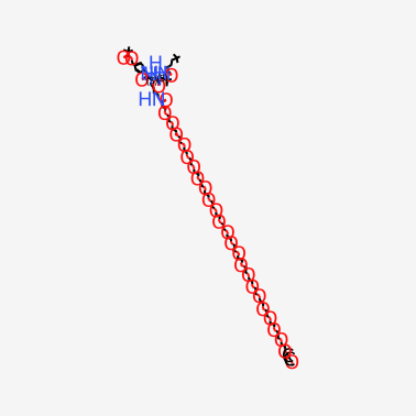 COCCOCCOCCOCCOCCOCCOCCOCCOCCOCCOCCOCCOCCOCCOCCOCCOCCOCCOCCOCCOCCOCCOCCOCCC(=O)NCCCC[C@H](NC(=O)[C@@H](NC(=O)CCCC(C)(C)C)C(C)C)C(=O)Nc1ccc(COC(=O)C(C)(C)C)cc1